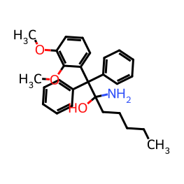 CCCCCC(N)(O)C(c1ccccc1)(c1ccccc1)c1cccc(OC)c1OC